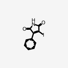 O=C1NC(=O)C(c2ccccc2)=C1I